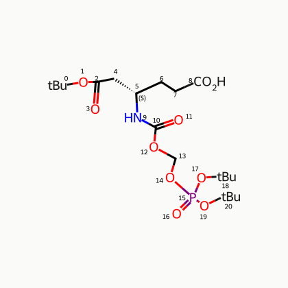 CC(C)(C)OC(=O)C[C@H](CCC(=O)O)NC(=O)OCOP(=O)(OC(C)(C)C)OC(C)(C)C